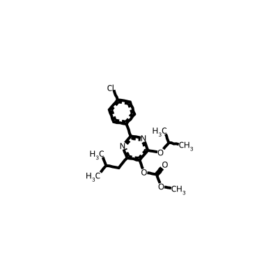 COC(=O)Oc1c(CC(C)C)nc(-c2ccc(Cl)cc2)nc1OC(C)C